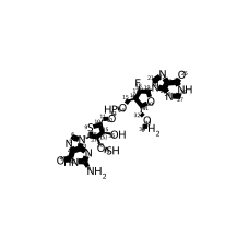 Nc1nc2c(ncn2[C@@H]2S[C@H](COPOC[C@H]3[C@H](F)[C@H](n4cnc5c(=O)[nH]cnc54)O[C@@H]3COP)[C@@H](O)[C@H]2OS)c(=O)[nH]1